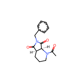 CC(=O)N1CCC[C@H]2C(=O)N(Cc3ccccc3)C(=O)[C@H]21